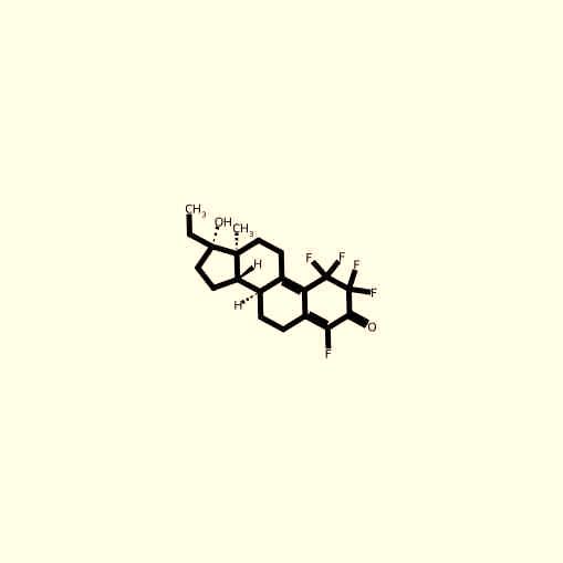 CC[C@]1(O)CC[C@H]2[C@@H]3CCC4=C(F)C(=O)C(F)(F)C(F)(F)C4=C3CC[C@@]21C